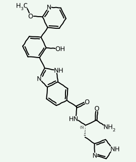 COc1ncccc1-c1cccc(-c2nc3ccc(C(=O)N[C@@H](Cc4c[nH]cn4)C(N)=O)cc3[nH]2)c1O